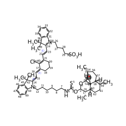 C[C@@H]1C(OC(=S)NCCCCCCN2/C(=C/C=C3\CCCC(/C=C/C4=[N+](CCCCS(=O)(=O)O)c5ccccc5C4(C)C)=C3Cl)C(C)(C)c3ccccc32)O[C@H]2O[C@]3(C)CC[C@@H]4[C@@H](C)CC[C@H]1[C@]24OO3